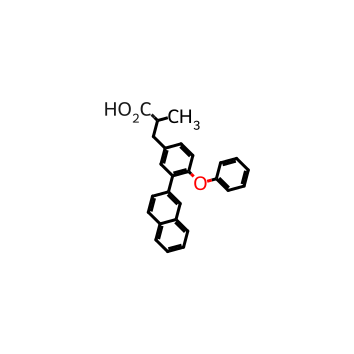 CC(Cc1ccc(Oc2ccccc2)c(-c2ccc3ccccc3c2)c1)C(=O)O